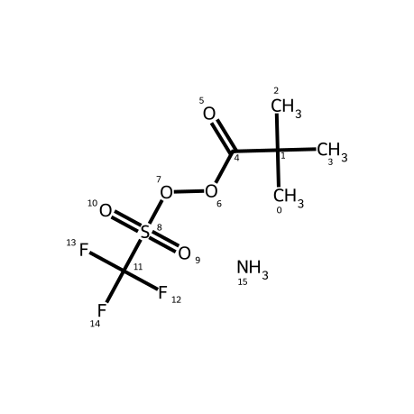 CC(C)(C)C(=O)OOS(=O)(=O)C(F)(F)F.N